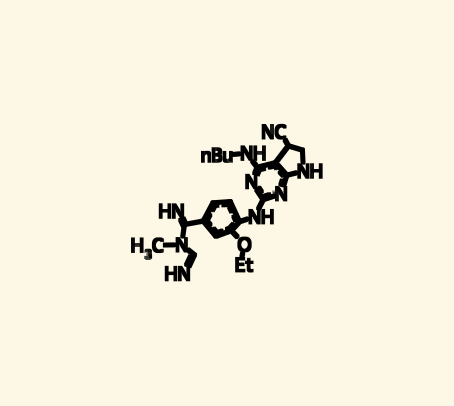 CCCCNc1nc(Nc2ccc(C(=N)N(C)C=N)cc2OCC)nc2c1C(C#N)CN2